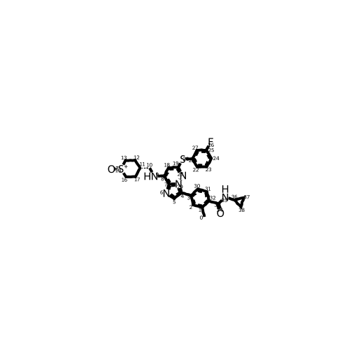 Cc1cc(-c2cnc3c(NC[C@H]4CC[S@@+]([O-])CC4)cc(Sc4cccc(F)c4)nn23)ccc1C(=O)NC1CC1